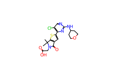 CC1(C)c2sc(-c3nc(NC4CCOCC4)ncc3Cl)cc2C(=O)N1CC(=O)O